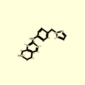 c1cnn(Cc2ccc(Nc3ncc4c(n3)CNCC4)cc2)n1